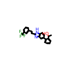 CC(O)c1ccccc1-c1ccc2[nH]c(/C=C/c3cccc(C(F)(F)F)c3)nc2c1